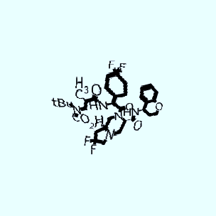 C[C@@H](CN(C(=O)O)C(C)(C)C)C(=O)N[C@H](C(=O)N1C[C@H]2CC(F)(F)CN2C[C@H]1C(=O)N[C@@H]1CCOc2ccccc21)C1CCC(F)(F)CC1